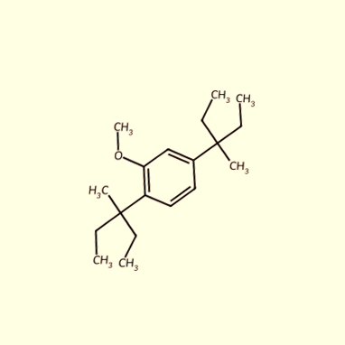 CCC(C)(CC)c1ccc(C(C)(CC)CC)c(OC)c1